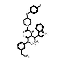 CC(c1c[nH]c2ccccc12)C(NC(=O)N1CCC(Oc2ccc(F)cc2)CC1)C(=O)N(C)c1cccc(CN)c1